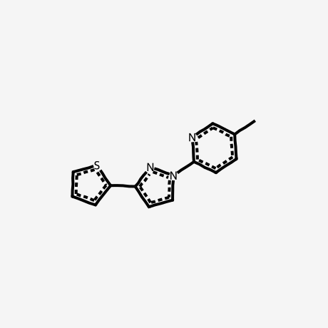 Cc1ccc(-n2ccc(-c3cccs3)n2)nc1